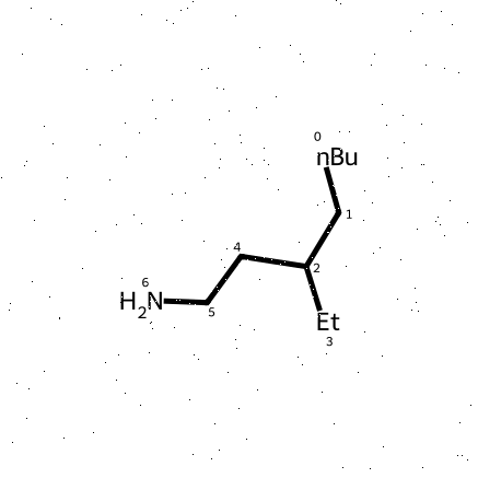 CCCCCC(CC)CCN